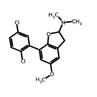 COc1cc2c(c(-c3cc(Cl)ccc3Cl)c1)OC(N(C)C)C2